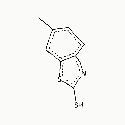 Cc1ccc2nc(S)sc2c1